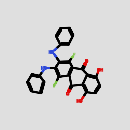 O=C1c2c(O)ccc(O)c2C(=O)c2c(F)c(Nc3ccccc3)c(Nc3ccccc3)c(F)c21